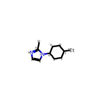 CCC1CCC(n2ccnc2C)CC1